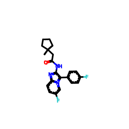 CC1(CC(=O)Nc2nc3ccc(F)cn3c2-c2ccc(F)cc2)CCCC1